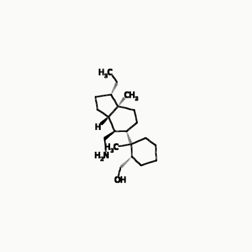 CC[C@H]1CC[C@H]2[C@H](CN)[C@@H](C3(C)CCCC[C@@H]3CO)CC[C@]12C